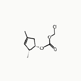 CC1=C[C@@H](C)[C@@H](OC(=O)OCCl)C1